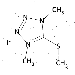 CSc1n(C)nn[n+]1C.[I-]